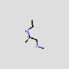 CCN[C@H](C)CNC